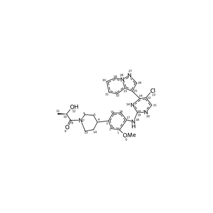 COc1cc(C2CCN(C(=O)[C@@H](C)O)CC2)ccc1Nc1ncc(Cl)c(-c2cnn3ccccc23)n1